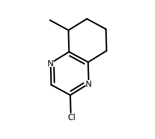 CC1CCCc2nc(Cl)cnc21